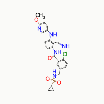 COc1ccc(Nc2cccc(NC(=O)c3cc(CNS(=O)(=O)C4CC4)ccc3Cl)c2C=N)cn1